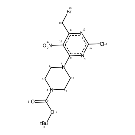 CC(C)(C)OC(=O)N1CCN(c2nc(Cl)nc(CBr)c2[N+](=O)[O-])CC1